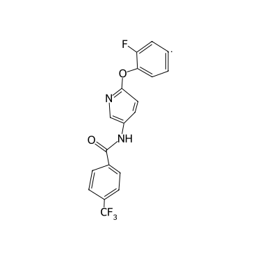 O=C(Nc1ccc(Oc2cc[c]cc2F)nc1)c1ccc(C(F)(F)F)cc1